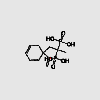 C=CC1(CC(C)(P(=O)(O)O)P(=O)(O)O)C=CC=CC1